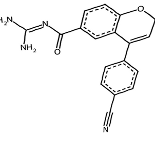 N#Cc1ccc(C2=CCOc3ccc(C(=O)N=C(N)N)cc32)cc1